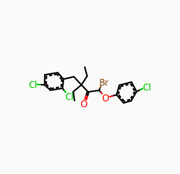 CCC(CC)(Cc1ccc(Cl)cc1Cl)C(=O)C(Br)Oc1ccc(Cl)cc1